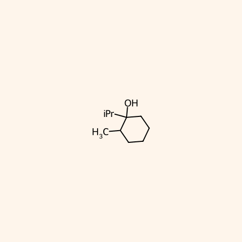 CC(C)C1(O)CCCCC1C